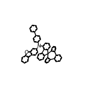 c1ccc(-c2ccc(N(c3ccc4c(c3)oc3ccccc34)c3cccc4c3-c3ccccc3C43c4ccccc4-c4ccccc4-c4ccccc43)cc2)cc1